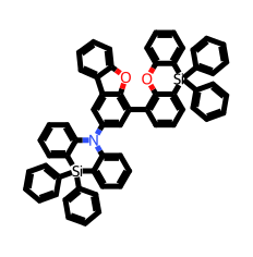 c1ccc([Si]2(c3ccccc3)c3ccccc3N(c3cc(-c4cccc5c4Oc4ccccc4[Si]5(c4ccccc4)c4ccccc4)c4oc5ccccc5c4c3)c3ccccc32)cc1